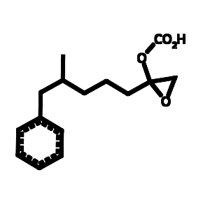 CC(CCCC1(OC(=O)O)CO1)Cc1ccccc1